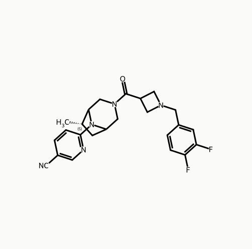 C[C@H]1CC2CN(C(=O)C3CN(Cc4ccc(F)c(F)c4)C3)CC1N2c1ccc(C#N)cn1